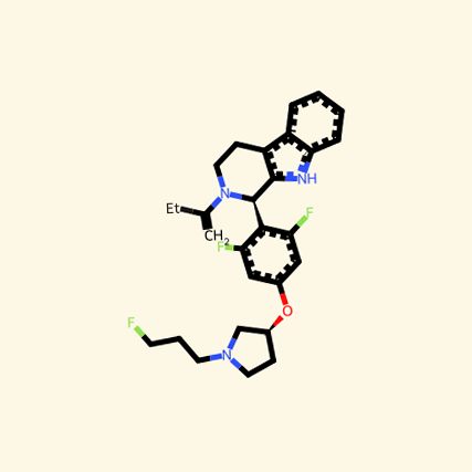 C=C(CC)N1CCc2c([nH]c3ccccc23)[C@H]1c1c(F)cc(O[C@H]2CCN(CCCF)C2)cc1F